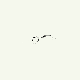 Cc1ccc(C#CCO)cn1